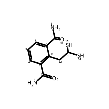 NC(=O)c1cccc(C(N)=O)c1CC(S)S